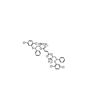 CNC(CC(Sc1cc(Cl)ccc1Cl)c1ccccc1)OC(=O)/C=C/C(=O)OC(CC(Sc1cc(Cl)ccc1Cl)c1ccccc1)NC